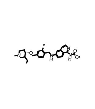 CCC1CN(C)CC[C@H]1OCc1ccc(CNc2ccc3c(NC(=O)OC)nccc3c2)c(F)c1